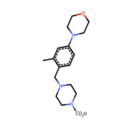 Cc1cc(N2CCOCC2)ccc1CN1CCN(C(=O)O)CC1